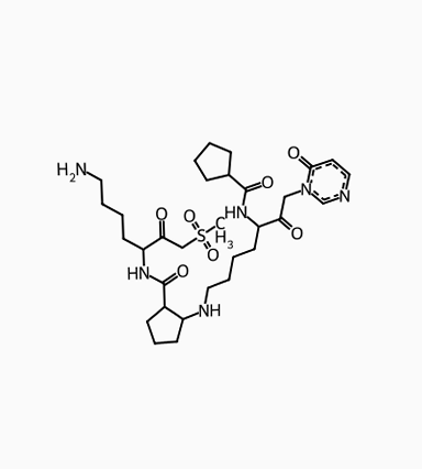 CS(=O)(=O)CC(=O)C(CCCCN)NC(=O)C1CCCC1NCCCCC(NC(=O)C1CCCC1)C(=O)Cn1cnccc1=O